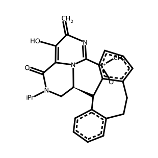 C=C1N=C([S+](C)[O-])N2C(=C1O)C(=O)N(C(C)C)C[C@@H]2C1c2ccccc2CCc2ccccc21